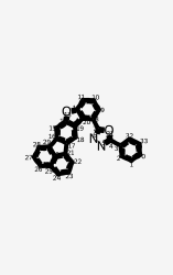 c1ccc(-c2nnc(-c3cccc4oc5cc6c(cc5c34)-c3cccc4cccc-6c34)o2)cc1